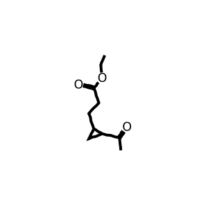 CCOC(=O)CCC1CC1C(C)=O